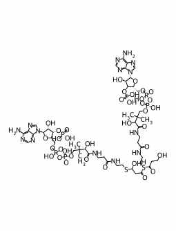 CC(C)(COP(=O)(O)OP(=O)(O)OC[C@H]1O[C@@H](n2cnc3c(N)ncnc32)[C@H](O)[C@@H]1OP(=O)(O)O)C(O)C(=O)NCCC(=O)NCCSC(O)CC(=O)[SH](CCNC(=O)CCNC(=O)C(O)C(C)(C)COP(=O)(O)OP(=O)(O)OC[C@H]1O[C@@H](n2cnc3c(N)ncnc32)[C@H](O)[C@@H]1OP(=O)(O)O)C(=O)CCO